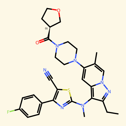 CCc1nn2cc(C)c(N3CCN(C(=O)[C@H]4CCOC4)CC3)cc2c1N(C)c1nc(-c2ccc(F)cc2)c(C#N)s1